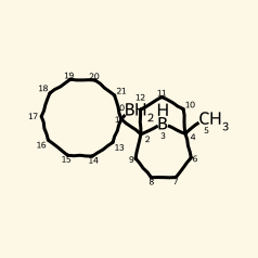 BC1(C23BC(C)(CCCC2)CCC3)CCCCCCCCC1